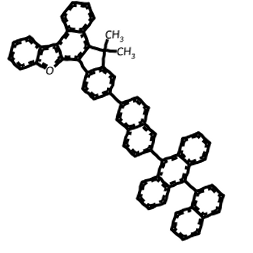 CC1(C)c2cc(-c3ccc4cc(-c5c6ccccc6c(-c6cccc7ccccc67)c6ccccc56)ccc4c3)ccc2-c2c1c1ccccc1c1c2oc2ccccc21